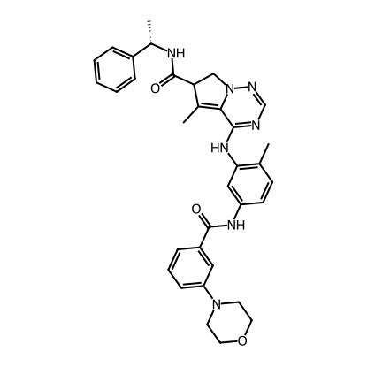 CC1=C2C(Nc3cc(NC(=O)c4cccc(N5CCOCC5)c4)ccc3C)=NC=NN2CC1C(=O)N[C@@H](C)c1ccccc1